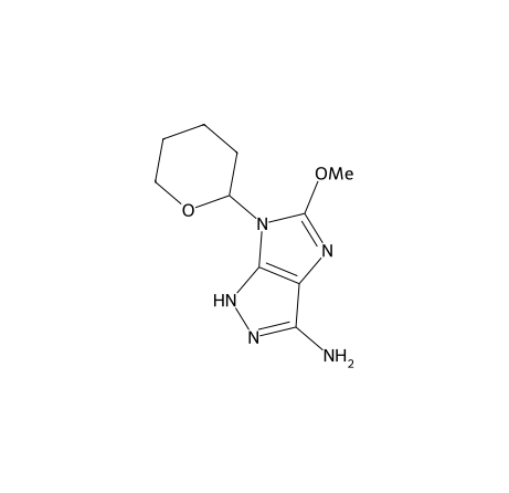 COc1nc2c(N)n[nH]c2n1C1CCCCO1